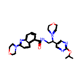 CC(C)Oc1ncc(C(CNC(=O)c2cccc3nc(N4CCOCC4)ccc23)N2CCOCC2)cn1